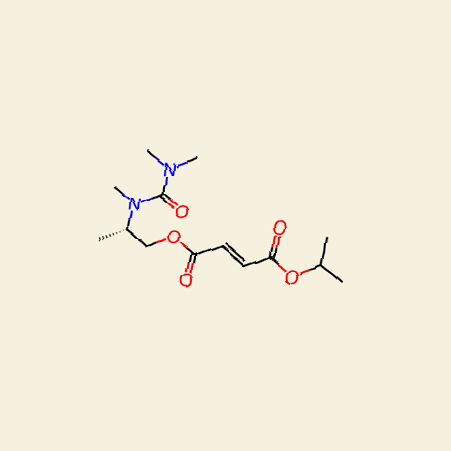 CC(C)OC(=O)/C=C/C(=O)OC[C@H](C)N(C)C(=O)N(C)C